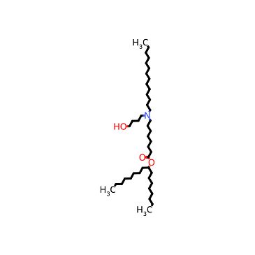 CCCCCCCCCCCCCCN(CCCCO)CCCCCCCC(=O)OC(CCCCCCCC)CCCCCCCC